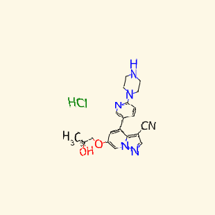 C[C@H](O)COc1cc(-c2ccc(N3CCNCC3)nc2)c2c(C#N)cnn2c1.Cl